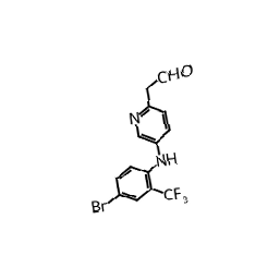 O=CCc1ccc(Nc2ccc(Br)cc2C(F)(F)F)cn1